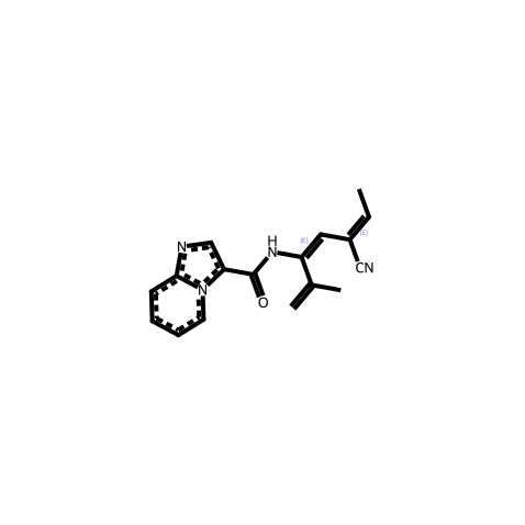 C=C(C)/C(=C\C(C#N)=C/C)NC(=O)c1cnc2ccccn12